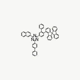 c1ccc(-c2ccc(-c3nc(-c4ccc(-c5cccc6c5-c5ccccc5C65c6ccccc6-c6ccccc65)c(-c5ccccc5)c4)nc(-c4ccc5ccccc5c4)n3)cc2)cc1